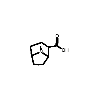 CN1C2CCC(C(=O)O)C1CC2